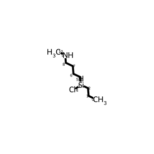 CCC[SiH](Cl)CCCCNC